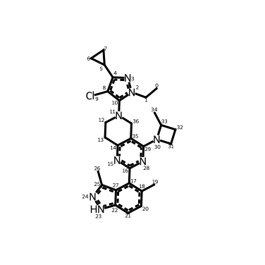 CCn1nc(C2CC2)c(Cl)c1N1CCc2nc(-c3c(C)ccc4[nH]nc(C)c34)nc(N3CCC3C)c2C1